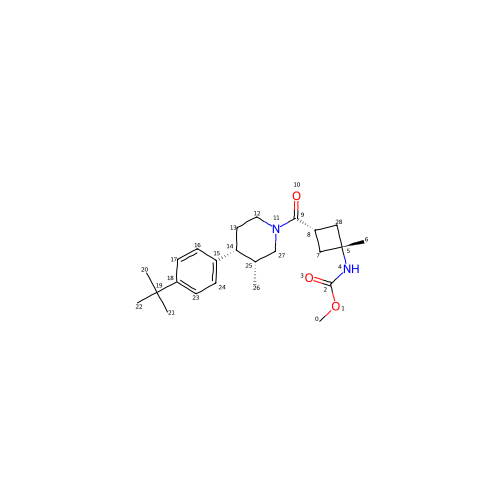 COC(=O)N[C@]1(C)C[C@H](C(=O)N2CC[C@@H](c3ccc(C(C)(C)C)cc3)[C@@H](C)C2)C1